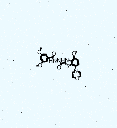 COc1cc(OC)cc(C(=O)NNC(=O)c2nc3c(OC)ccc(N4CCOCC4)c3s2)c1